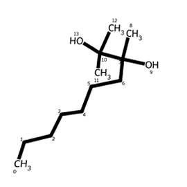 CCCCCCCC(C)(O)C(C)(C)O